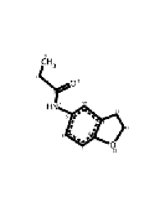 CCC(=O)Nc1ccc2c(c1)CCO2